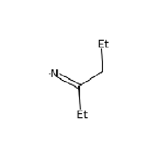 CCCC(=[N])CC